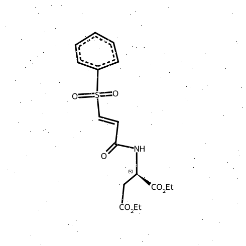 CCOC(=O)C[C@@H](NC(=O)C=CS(=O)(=O)c1ccccc1)C(=O)OCC